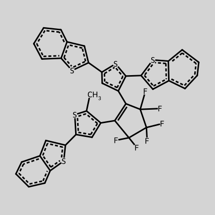 Cc1sc(-c2cc3ccccc3s2)cc1C1=C(c2cc(-c3cc4ccccc4s3)sc2-c2cc3ccccc3s2)C(F)(F)C(F)(F)C1(F)F